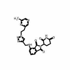 Cc1cncc(CCn2cc(CNc3cccc4c3C(=O)N(C3CCC(=O)NC3=O)C4=O)nn2)n1